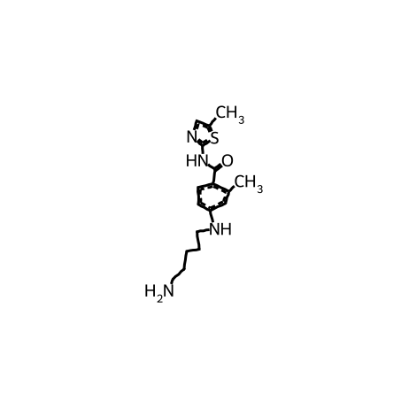 Cc1cnc(NC(=O)c2ccc(NCCCCCN)cc2C)s1